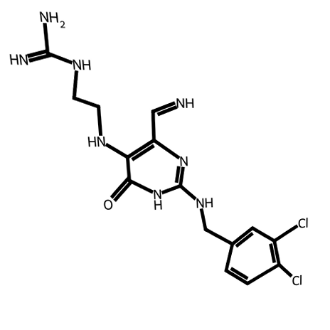 N=Cc1nc(NCc2ccc(Cl)c(Cl)c2)[nH]c(=O)c1NCCNC(=N)N